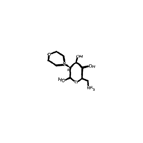 NCC1OC(O)[C@@H](N2CCOCC2)C(O)C1O